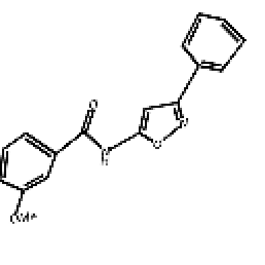 COc1cccc(C(=O)Nc2cc(-c3ccccc3)no2)c1